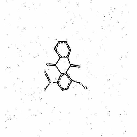 COc1ccc([N+](=O)[O-])c2c1C(=O)c1ccccc1C2=O